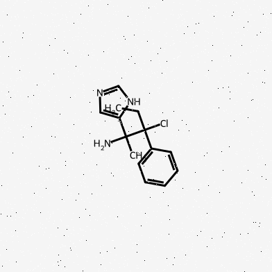 CCC(Cl)(c1ccccc1)C(C)(N)c1cnc[nH]1